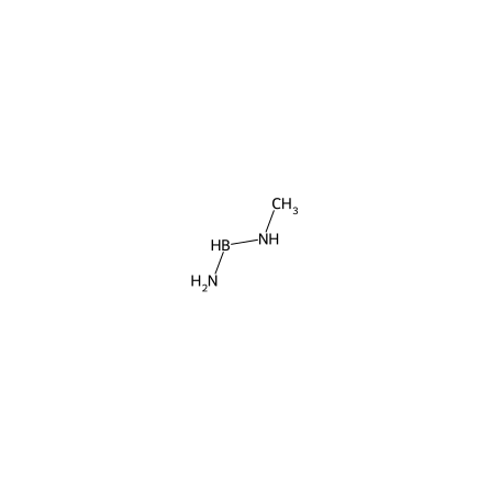 CNBN